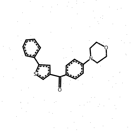 O=C(c1ccc(N2CCOCC2)cc1)c1csc(-c2ccccc2)c1